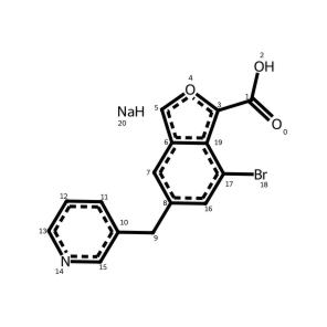 O=C(O)c1occ2cc(Cc3cccnc3)cc(Br)c12.[NaH]